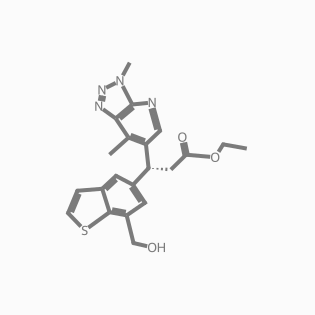 CCOC(=O)C[C@H](c1cc(CO)c2sccc2c1)c1cnc2c(nnn2C)c1C